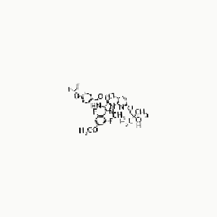 COc1cc(F)c(-c2c(NC(=O)c3ccc(OC(F)F)cc3)c(=O)n(-c3nc(OCC(C)(C)O)ccc3Cl)n2C)c(F)c1